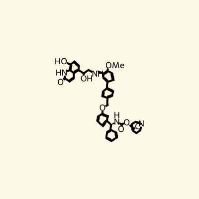 COc1ccc(-c2ccc(COc3cccc([C@@H](NC(=O)OC4CN5CCC4CC5)c4ccccc4)c3)cc2)cc1CNCC(O)c1ccc(O)c2[nH]c(=O)ccc12